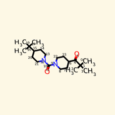 CC(C)(C)C(=O)C1CCN(C(=O)N2CCC(C(C)(C)C)CC2)CC1